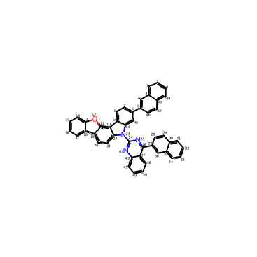 c1ccc2cc(-c3ccc4c5c6oc7ccccc7c6ccc5n(-c5nc(-c6ccc7ccccc7c6)c6ccccc6n5)c4c3)ccc2c1